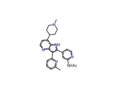 CC(=O)Nc1cc(-c2[nH]c3c(C4CCN(C)CC4)ccnc3c2-c2cccc(C)n2)ccn1